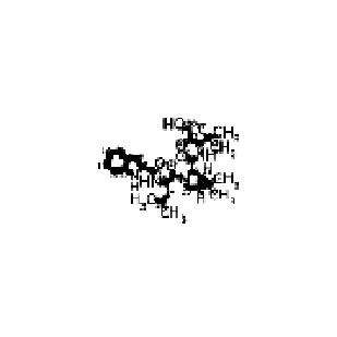 CC(C)C[C@H](NC(=O)c1cc2ccccc2[nH]1)C(=O)N1C[C@H]2[C@@H]([C@H]1C(=O)N[C@H](C(=O)CO)C(C)(C)C)C2(C)C